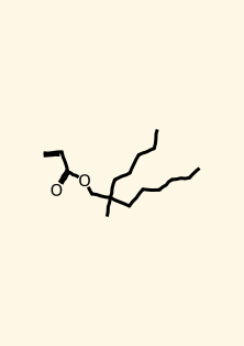 C=CC(=O)OCC(C)(CCCCC)CCCCCC